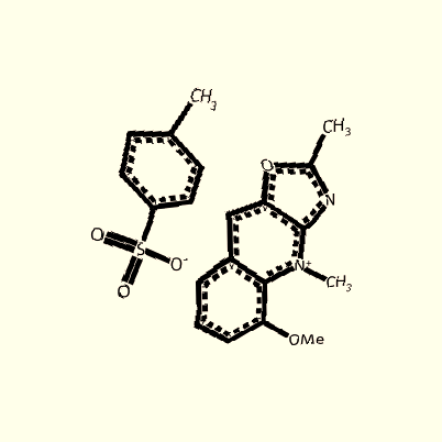 COc1cccc2cc3oc(C)nc3[n+](C)c12.Cc1ccc(S(=O)(=O)[O-])cc1